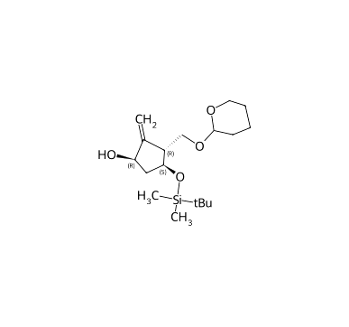 C=C1[C@H](O)C[C@H](O[Si](C)(C)C(C)(C)C)[C@H]1COC1CCCCO1